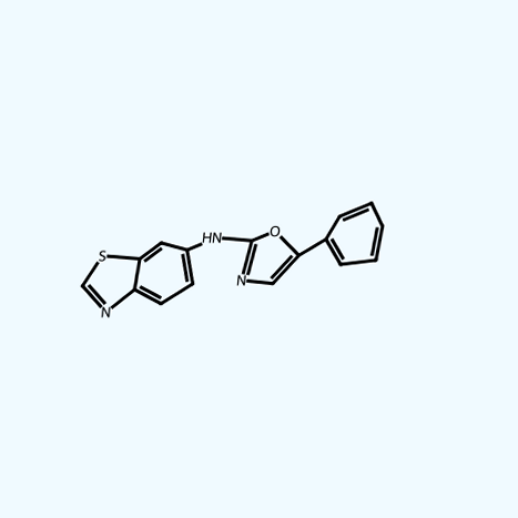 c1ccc(-c2cnc(Nc3ccc4ncsc4c3)o2)cc1